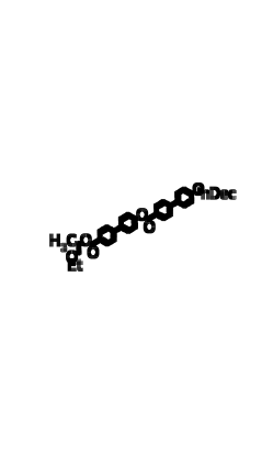 CCCCCCCCCCOc1ccc(-c2ccc(C(=O)Oc3ccc(-c4ccc(C(=O)O[C@@H](C)COCC)cc4)cc3)cc2)cc1